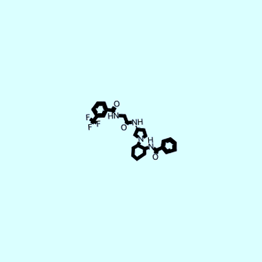 O=C(CNC(=O)c1cccc(C(F)(F)F)c1)N[C@@H]1CCN(C2CCCCC2NC(=O)c2ccccc2)C1